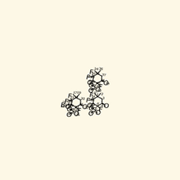 CC1(C)CC(=O)C(F)(S(=O)(=O)[O-])C(=O)C1(F)F.CC1(C)CC(=O)C(F)(S(=O)(=O)[O-])C(=O)C1(F)F.CC1(C)CC(=O)C(F)(S(=O)(=O)[O-])C(=O)C1(F)F.[Bi+3]